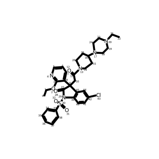 CCOc1ncccc1C1(CC(=O)N2CCC(N3CCN(CC)CC3)CC2)C(=O)N(S(=O)(=O)c2ccccc2)c2ccc(Cl)cc21